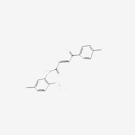 COc1ccc(Cl)cc1NC(=O)/C(O)=C/C(=O)c1ccc(F)cc1